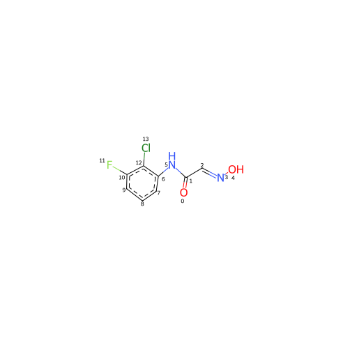 O=C(C=NO)Nc1cccc(F)c1Cl